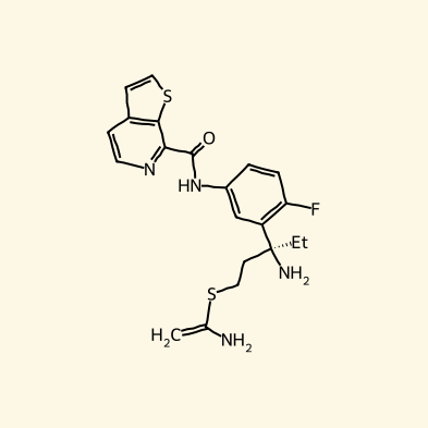 C=C(N)SCC[C@@](N)(CC)c1cc(NC(=O)c2nccc3ccsc23)ccc1F